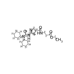 CCOC(=O)CCNC(=O)c1cnc(NC(=O)N(C2CCCCC2)C2CCCCC2)s1